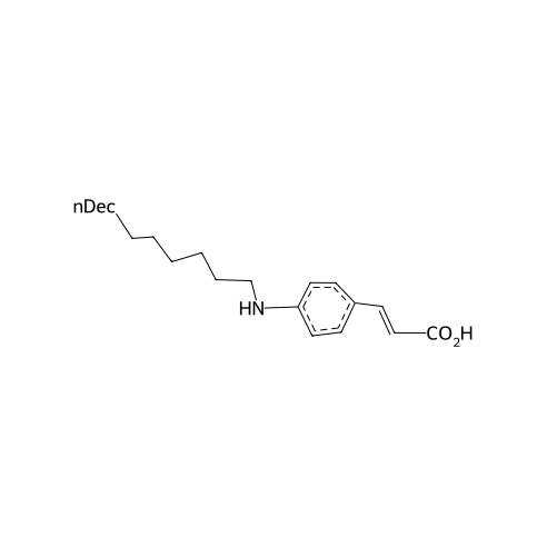 CCCCCCCCCCCCCCCCNc1ccc(C=CC(=O)O)cc1